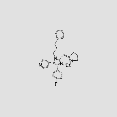 CCN1CCCC1=Cc1nc(-c2ccc(F)cc2)c(-c2ccncc2)n1CCCc1ccccc1